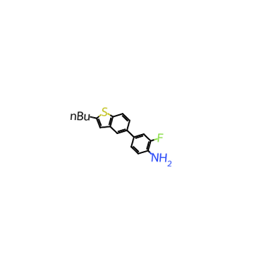 CCCCc1cc2cc(-c3ccc(N)c(F)c3)ccc2s1